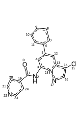 O=C(Nc1cc(-c2ccccc2)cc2c(Cl)cnn12)c1ccncc1